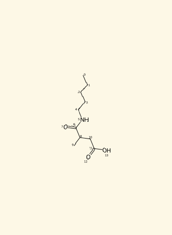 CCCCCNC(=O)C(C)CC(=O)O